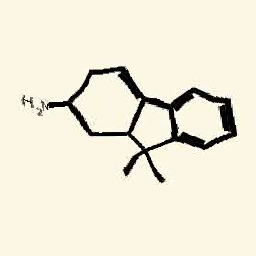 CC1(C)c2ccccc2C2=CCC(N)CC21